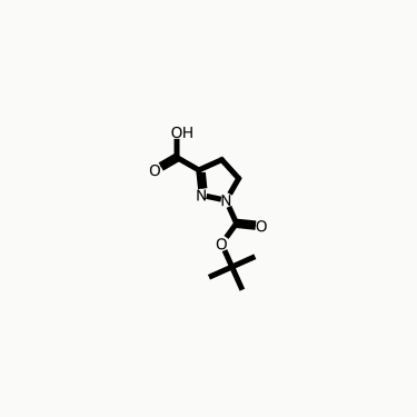 CC(C)(C)OC(=O)N1CCC(C(=O)O)=N1